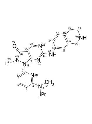 CC(C)N(C)c1cccc(-n2c3nc(Nc4ccc5c(c4)CNCC5)ncc3c(=O)n2C(C)C)n1